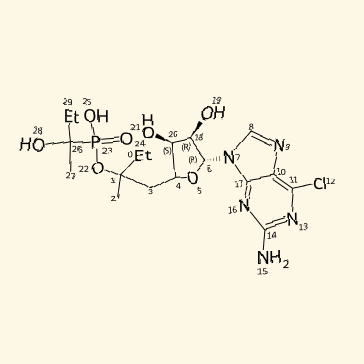 CCC(C)(CC1O[C@@H](n2cnc3c(Cl)nc(N)nc32)[C@H](O)[C@@H]1O)OP(=O)(O)C(C)(O)CC